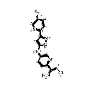 N/C(=N\O)c1ccc(Nc2cc(-c3ccc(C(F)(F)F)cn3)no2)cn1